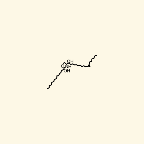 CCCCCCCCCCCCCC(O)C(=O)NC(CC)C(O)CCCCCCCCCC1CC1CCCCCC